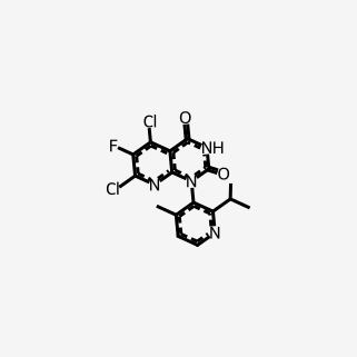 Cc1ccnc(C(C)C)c1-n1c(=O)[nH]c(=O)c2c(Cl)c(F)c(Cl)nc21